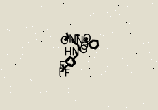 CC(=O)N1CCN(S(=O)(=O)C2CCCCC2)C(C(=O)NCc2ccc(C(F)(F)F)cc2)C1